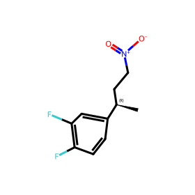 C[C@H](CC[N+](=O)[O-])c1ccc(F)c(F)c1